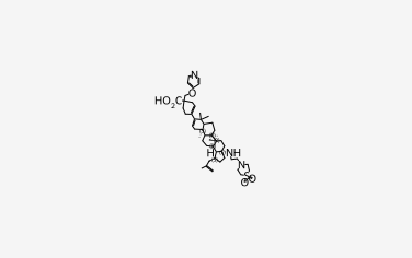 C=C(C)C[C@@H]1CC[C@]2(NCCN3CCS(=O)(=O)CC3)CC[C@]3(C)[C@H](CCC4[C@@]5(C)CC=C(C6=CCC(COc7ccncc7)(C(=O)O)CC6)C(C)(C)C5CC[C@]43C)C12